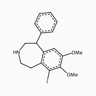 COc1cc2c(c(I)c1OC)CCNCC2c1ccccc1